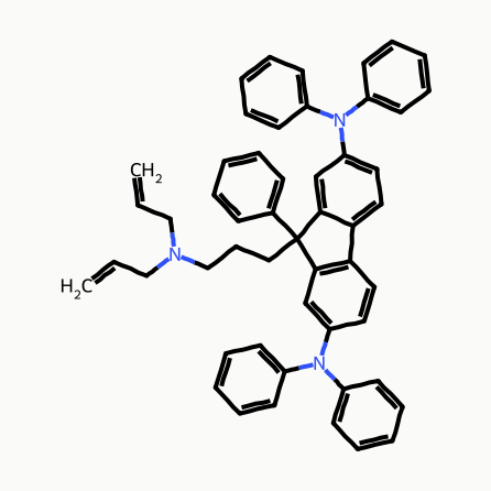 C=CCN(CC=C)CCCC1(c2ccccc2)c2cc(N(c3ccccc3)c3ccccc3)ccc2-c2ccc(N(c3ccccc3)c3ccccc3)cc21